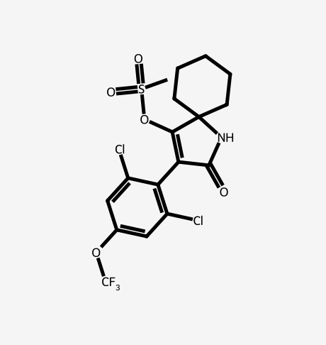 CS(=O)(=O)OC1=C(c2c(Cl)cc(OC(F)(F)F)cc2Cl)C(=O)NC12CCCCC2